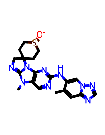 Cc1cc2ncnn2cc1Nc1ncc2c(n1)N1C(=NCC13CC[S+]([O-])CC3)N2C